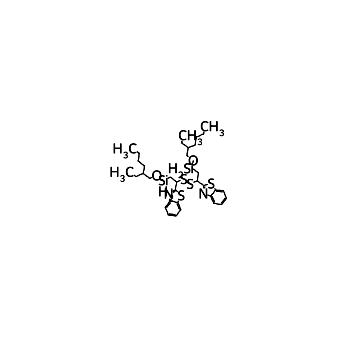 CCCCC(CC)CO[SiH2]CC(SSC(C[SiH2]OCC(CC)CCCC)c1nc2ccccc2s1)c1nc2ccccc2s1